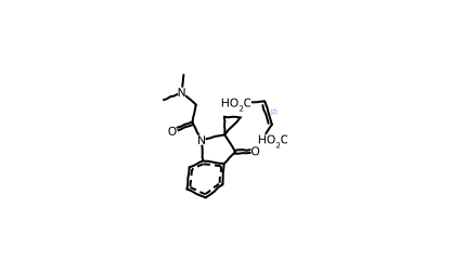 CN(C)CC(=O)N1c2ccccc2C(=O)C12CC2.O=C(O)/C=C\C(=O)O